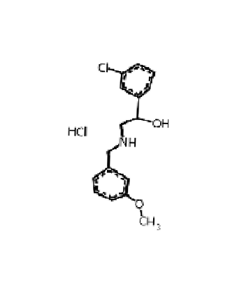 COc1cccc(CNCC(O)c2cccc(Cl)c2)c1.Cl